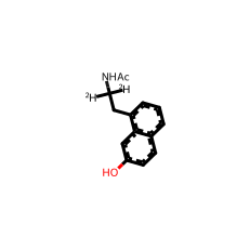 [2H]C([2H])(Cc1cccc2ccc(O)cc12)NC(C)=O